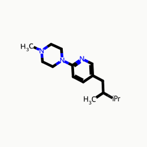 CC(C)C(C)Cc1ccc(N2CCN(C)CC2)nc1